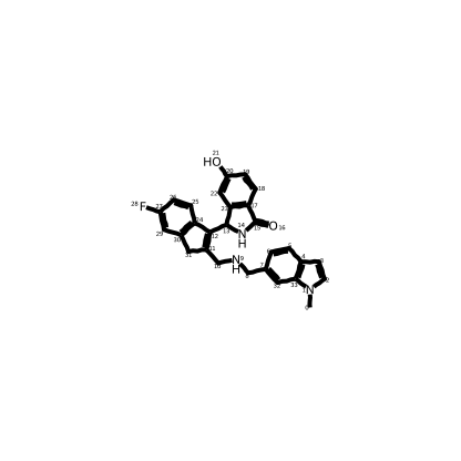 Cn1ccc2ccc(CNCC3=C(C4NC(=O)c5ccc(O)cc54)c4ccc(F)cc4C3)cc21